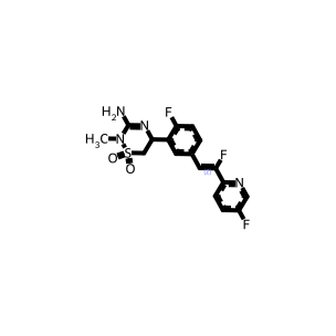 CN1C(N)=NC(c2cc(/C=C(\F)c3ccc(F)cn3)ccc2F)CS1(=O)=O